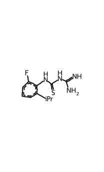 CC(C)c1cccc(F)c1NC(=S)NC(=N)N